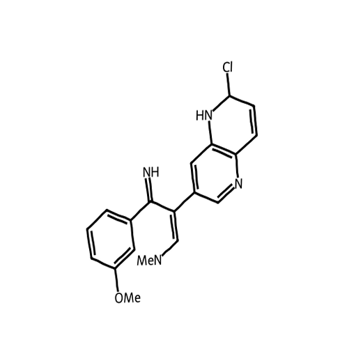 CN/C=C(\C(=N)c1cccc(OC)c1)c1cnc2c(c1)NC(Cl)C=C2